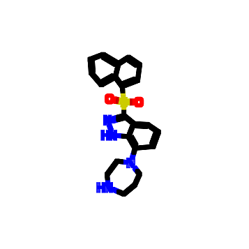 O=S(=O)(c1cccc2ccccc12)c1n[nH]c2c(N3CCCNCC3)cccc12